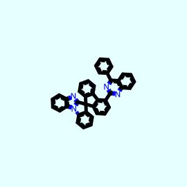 c1ccc(-c2nc(-c3cccc4c3-c3ccccc3C43c4ccccc4-n4c3nc3ccccc34)nc3ccccc23)cc1